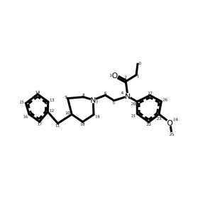 CCC(=O)N(CCN1CCC(Cc2ccccc2)CC1)c1ccc(OC)cc1